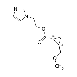 COC[C@@H]1C[C@H]1C(=O)OCCn1ccnc1